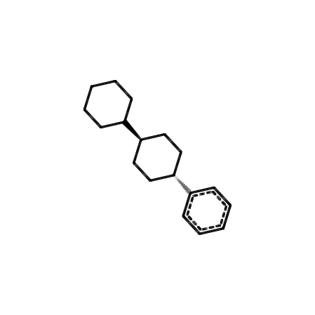 c1ccc([C@H]2CC[C@H](C3CCCCC3)CC2)cc1